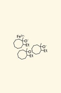 CCC1CCCCCCC1(C)[O-].CCC1CCCCCCC1(C)[O-].CCC1CCCCCCC1(C)[O-].[Fe+3]